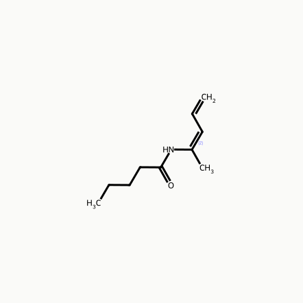 C=C/C=C(/C)NC(=O)CCCC